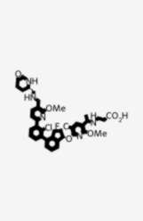 COc1nc(-c2cccc(-c3cccc4c3CC[C@@H]4Oc3nc(OC)c(C(C)NCCC(=O)O)cc3C(F)(F)F)c2Cl)ccc1CNC[C@@H]1CCC2OC2N1